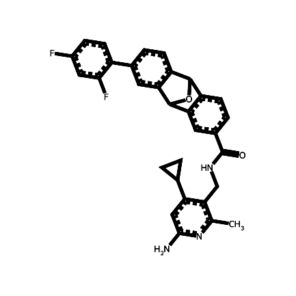 Cc1nc(N)cc(C2CC2)c1CNC(=O)c1ccc2c(c1)C1OC2c2ccc(-c3ccc(F)cc3F)cc21